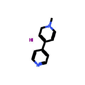 CN1C=CC(c2ccncc2)=CC1.I